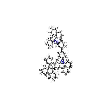 c1ccc(-c2c(-c3ccc(N(c4ccc(-c5ccc6c7ccc8ccccc8c7n(-c7ccccc7)c6c5)cc4)c4cccc5ccccc45)cc3)c3ccccc3c3ccccc23)cc1